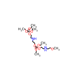 CCO[Si](OC)(OCC)OCCNCCO[Si](OCC)(OCC)OCCNCCOC